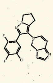 Fc1cc(F)c(-c2nn3c(c2N2C=Cc4ncnn4C2)CCC3)cc1Cl